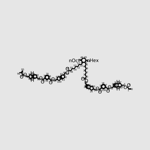 C=CC(=O)OCC1C[C@@H]2C3CC(COC(=O)c4cccc(C(=O)OCC5CC6C7CC(COC(=O)CCCCCCCC8C(CCCCCC)CCC(CCCCCCCC)C8CCCCCCCC(=O)OCC8CC9CC8C8CC(COC(=O)c%10cccc(C(=O)OCC%11CC%12CC%11[C@H]%11CC(COC(=O)C(=C)C)C[C@@H]%12%11)c%10)CC98)C(C7)C6C5)c4)C(C3)[C@@H]2C1